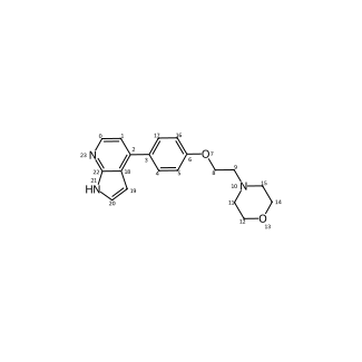 c1cc(-c2ccc(OCCN3CCOCC3)cc2)c2cc[nH]c2n1